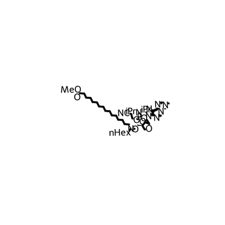 CCCCCCN(CCCCCCCCCCCCCCCC(=O)OC)OC[C@]12COC(C1OP(OCCC#N)N(C(C)C)C(C)C)[C@H](n1cnc3c(/N=C\N(C)C)ncnc31)O2